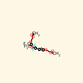 C=CC(=O)OCCCCOc1ccc2c(c1)Cc1cc(-c3cc(F)c(C(F)(F)Oc4ccc(OCCCCOC(=O)C=C)c(C(F)(F)F)c4C(F)(F)F)c(F)c3)ccc1-2